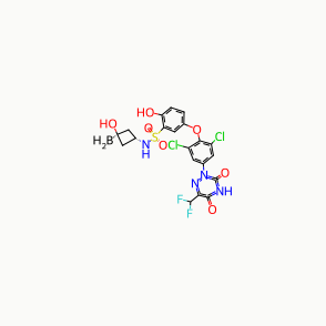 B[C@]1(O)C[C@H](NS(=O)(=O)c2cc(Oc3c(Cl)cc(-n4nc(C(F)F)c(=O)[nH]c4=O)cc3Cl)ccc2O)C1